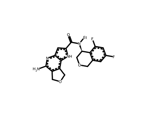 CCN(C(=O)c1cc2nc(N)c3c(c2[nH]1)COC3)[C@@H]1COCc2cc(F)cc(F)c21